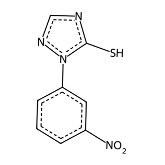 O=[N+]([O-])c1cccc(-n2ncnc2S)c1